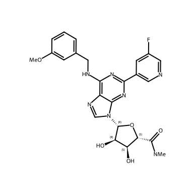 CNC(=O)[C@H]1O[C@@H](n2cnc3c(NCc4cccc(OC)c4)nc(-c4cncc(F)c4)nc32)[C@H](O)[C@@H]1O